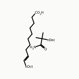 CCCCCCCCC=CCCCCCCCC(=O)O.CCCCCCCCCCC(C)(C)C(N)=O